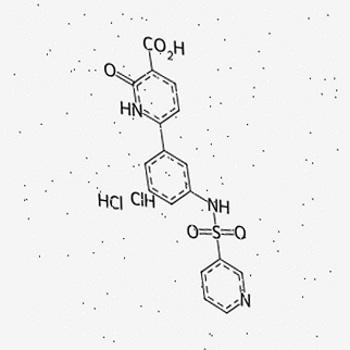 Cl.Cl.O=C(O)c1ccc(-c2cccc(NS(=O)(=O)c3cccnc3)c2)[nH]c1=O